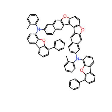 Cc1ccccc1N(c1ccc2cc3c(cc2c1)oc1ccc2oc4cc5cc(N(c6ccccc6C)c6cccc7c6oc6c(-c8ccccc8)cccc67)ccc5cc4c2c13)c1cccc2c1oc1c(-c3ccccc3)cccc12